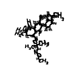 CCO/N=C/C(C)(C)ON=C1CC(C)(C)Nc2cc(F)c(-c3cccc4c(C)c[nH]c34)c(F)c21